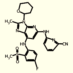 Cc1nc2c(Nc3ccc(F)cc3S(C)(=O)=O)cc(Nc3cccc(C#N)n3)nc2n1C1CCCCO1